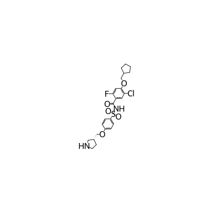 O=C(NS(=O)(=O)c1ccc(OC[C@@H]2CCNC2)cc1)c1cc(Cl)c(OCC2CCCC2)cc1F